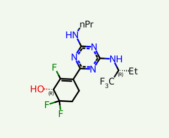 CCCNc1nc(N[C@H](CC)C(F)(F)F)nc(C2=C(F)[C@@H](O)C(F)(F)CC2)n1